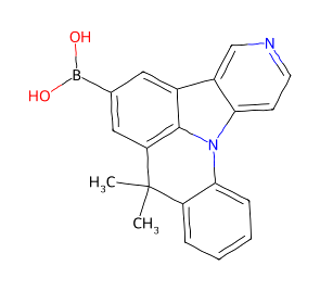 CC1(C)c2ccccc2-n2c3ccncc3c3cc(B(O)O)cc1c32